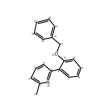 Cc1cc[c]c(-c2ccccc2OCc2ccccc2)n1